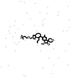 CCCC1=C(c2cc3c(cc2C)C2(CCOCC2)C(=O)N3CC)CCCc2cn(COCC[Si](C)(C)C)nc21